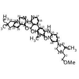 COCCN1CCN(c2ccc(Nc3cc(-c4ccnc(-n5ncn6c7c(cc6c5=O)CC(C)(C)C7)c4CO)cn(C)c3=O)nc2)C[C@H]1C